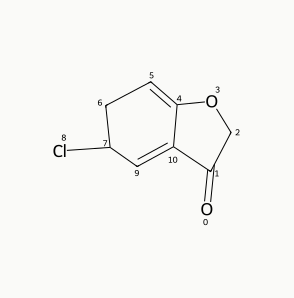 O=C1COC2=CCC(Cl)C=C12